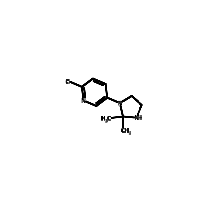 CC1(C)NCCN1c1ccc(Cl)nc1